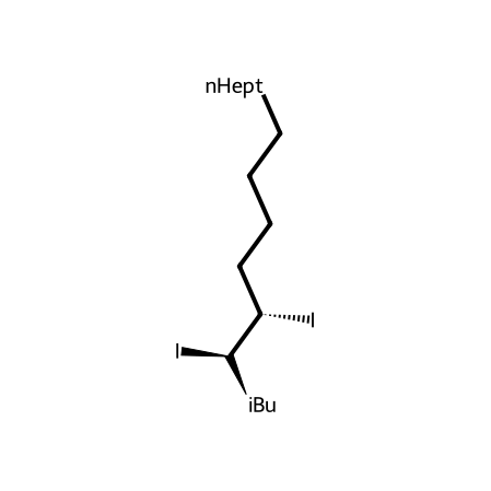 CCCCCCCCCCC[C@H](I)[C@H](I)[C@H](C)CC